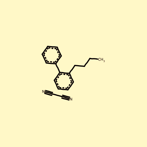 CCCCc1ccccc1-c1ccccc1.N#CC#N